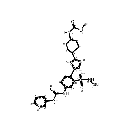 CC(C)OC(=O)NC1CCC(c2ncc(-c3ccc(NC(=O)Nc4cccnc4)cc3S(=O)(=O)NC(C)(C)C)s2)CC1